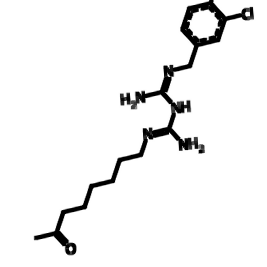 CC(=O)CCCCCCN=C(N)NC(N)=NCc1ccc(Cl)c(Cl)c1